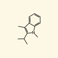 Cc1c(C(C)C)n(C)c2ccccc12